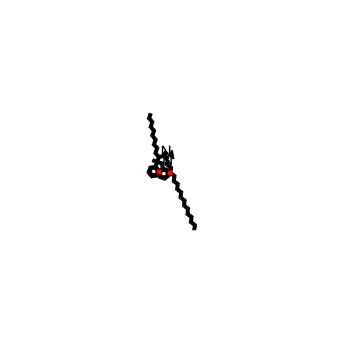 CCCCCCCCCCCCCCCCCn1ccnc1C(CCCCCCCCCC)C(C)(Cc1ccccc1)c1ccccc1